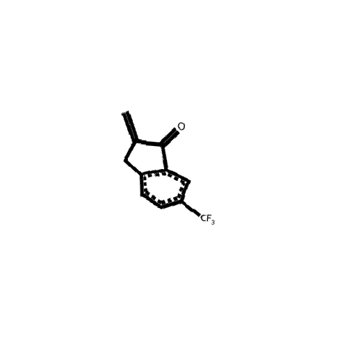 C=C1Cc2ccc(C(F)(F)F)cc2C1=O